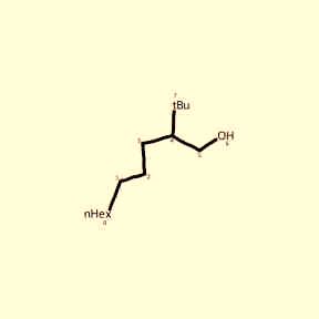 CCCCCCCCCC(CO)C(C)(C)C